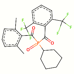 Cc1cccc(C)c1C(=O)P(=O)(C(=O)c1c(C(F)(F)F)cccc1C(F)(F)F)C1CCCCC1